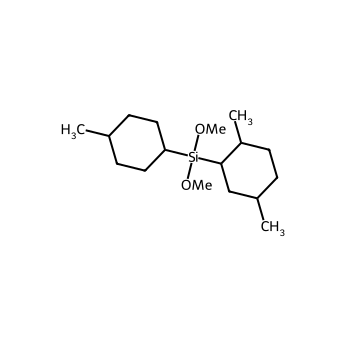 CO[Si](OC)(C1CCC(C)CC1)C1CC(C)CCC1C